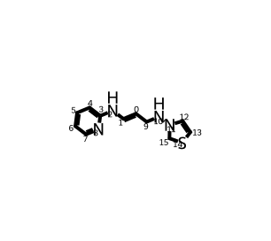 C(=CNc1ccccn1)CNN1C=CSC1